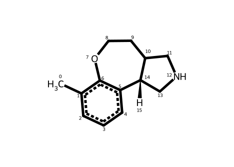 Cc1cccc2c1OCCC1CNC[C@H]21